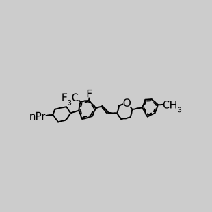 CCCC1CCC(c2ccc(/C=C/C3CCC(c4ccc(C)cc4)OC3)c(F)c2C(F)(F)F)CC1